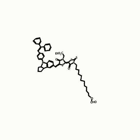 CCOC(=O)Cn1c(=O)/c(=C\c2ccc3c(c2)C2CCCC2N3c2ccc(C=C(c3ccccc3)c3ccccc3)cc2)s/c1=C1/SC(=S)N(CCCCCCCCCCCCOC=O)C1=O